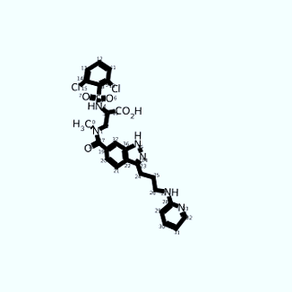 CN(CC(NS(=O)(=O)c1c(Cl)cccc1Cl)C(=O)O)C(=O)c1ccc2c(CCCNc3ccccn3)n[nH]c2c1